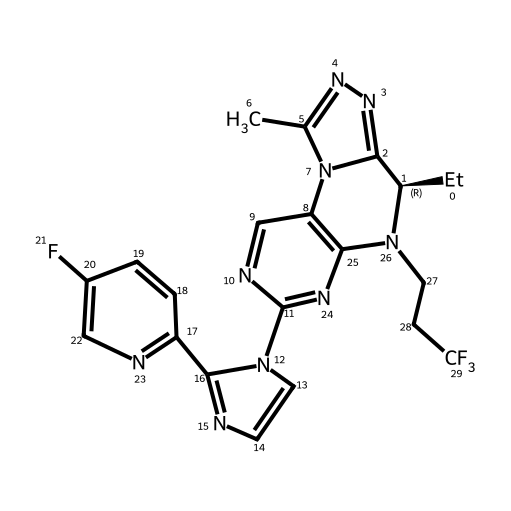 CC[C@@H]1c2nnc(C)n2-c2cnc(-n3ccnc3-c3ccc(F)cn3)nc2N1CCC(F)(F)F